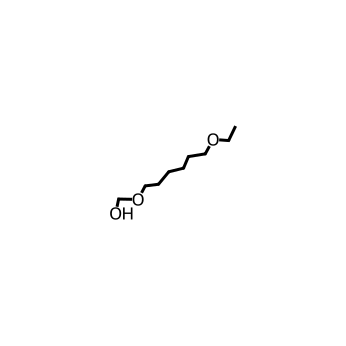 CCOCCCCCCOCO